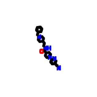 N#Cc1ccc(N2CCC(C(=O)NCCC3CCN(Cc4ccccc4)CC3)CC2)nc1